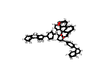 CC1C=C(c2cccc3cccc(-c4ccccc4)c23)C(N(c2ccc(-c3ccc(-c4cccc5ccccc45)cc3)cc2)c2ccc(-c3ccc4c(c3)oc3ccccc34)cc2)=CC1